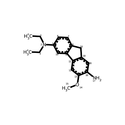 CCN(CC)c1ccc2c(c1)-c1cc(OC)c(N)cc1C2